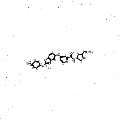 COCC1C[C@@H](NC(=O)c2cc(Oc3ccc4oc(Nc5ccc(Br)cc5)nc4c3)ccn2)CN1